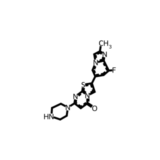 Cc1cn2cc(-c3cn4c(=O)cc(N5CCNCC5)nc4s3)cc(F)c2n1